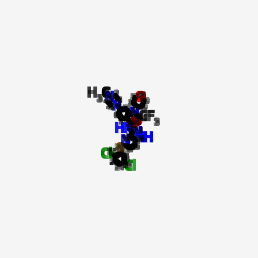 CN1CCN(c2ccc(C(=O)Nc3n[nH]c4ccc(Sc5cc(Cl)ccc5Cl)nc34)c(N(C(=O)C(F)(F)F)C3CCOCC3)c2)CC1